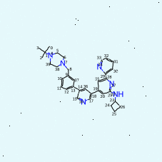 CC(C)(C)N1CCN(Cc2cccc(-c3cncc(-c4cc(NC5CCC5)nc(-c5ccccn5)c4)c3)c2)CC1